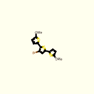 COc1ccc(-c2cc(Br)c(-c3ccc(OC)s3)s2)s1